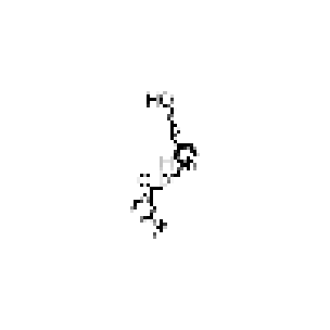 CCN(CC(C)N(C)C)C(=O)CNCc1cc(C=NCCO)ccn1